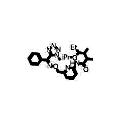 CCC(OC(C)C)C(C)C(C)C(=O)Nc1cccc(CO/N=C(/c2ccccc2)c2nnnn2C)n1